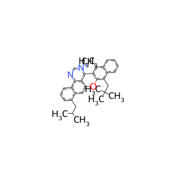 Cc1c2c(c(CC(C)(C)C)c3ccccc13)Oc1cc3c(CC(C)C)cccc3c3nc[n+](C)c-2c13